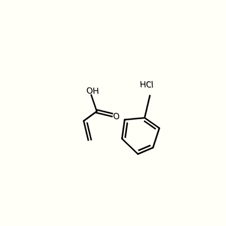 C=CC(=O)O.Cc1ccccc1.Cl